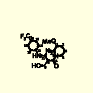 COc1cccn2c(=O)c(CO)c(Nc3ccc(C(F)(F)F)cc3)nc12